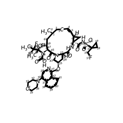 C[C@H]1CC/C=C\[C@@H]2C[C@@]2(C(=O)NS(=O)(=O)C2(CF)CC2)NC(=O)[C@@H]2C[C@@H](Oc3ncc(N4CCOCC4)c4ccccc34)CN2C(=O)[C@@H](N(C(=O)O)C(C)(C)C(C)(F)F)[C@H](C)C1